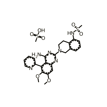 COc1cc2nc(N3CCc4c(cccc4NS(C)(=O)=O)C3)nc(N)c2c(-c2ccccn2)c1OC.CS(=O)(=O)O